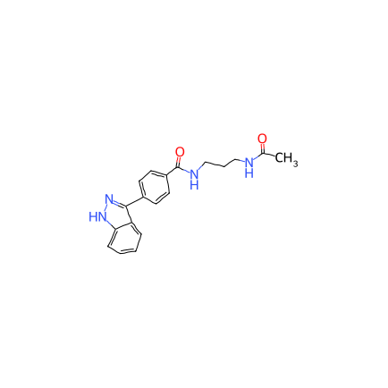 CC(=O)NCCCNC(=O)c1ccc(-c2n[nH]c3ccccc23)cc1